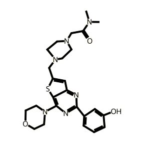 CN(C)C(=O)CN1CCN(Cc2cc3nc(-c4cccc(O)c4)nc(N4CCOCC4)c3s2)CC1